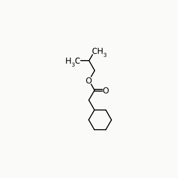 CC(C)COC(=O)CC1CCCCC1